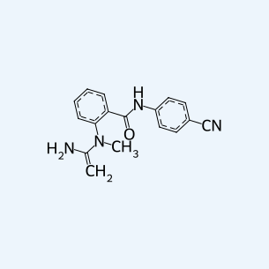 C=C(N)N(C)c1ccccc1C(=O)Nc1ccc(C#N)cc1